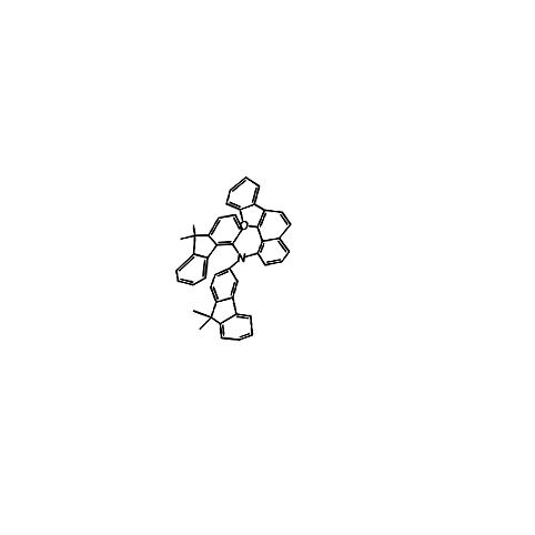 CC1(C)c2ccccc2-c2cc(N(c3cccc4c3-c3ccccc3C4(C)C)c3cccc4ccc5c6ccccc6oc5c34)ccc21